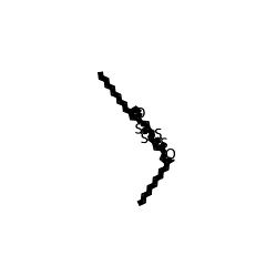 CCCCCCCCCCc1coc(-c2cc3c(s2)sc2c4cc(-c5cc(CCCCCCCCCC)co5)sc4sc32)c1